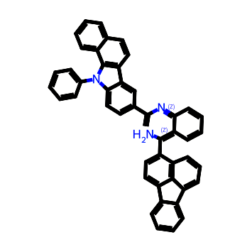 C=C(/N=C1/C=CC=C/C1=C(/N)c1ccc2c3c(cccc13)-c1ccccc1-2)c1ccc2c(c1)c1ccc3ccccc3c1n2-c1ccccc1